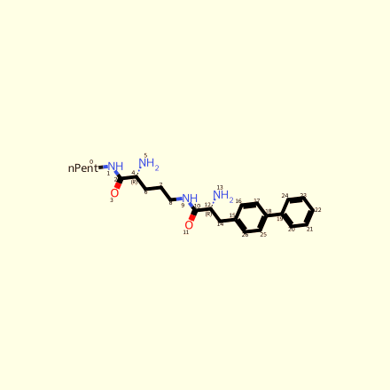 CCCCCNC(=O)[C@H](N)CCCNC(=O)[C@H](N)Cc1ccc(-c2ccccc2)cc1